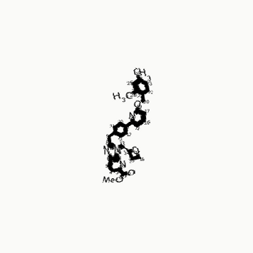 COC(=O)c1ccc2nc(Cc3ccc(-c4cccc(OCc5ccc(C)cc5C)n4)cc3)n(C[C@@H]3CCO3)c2n1